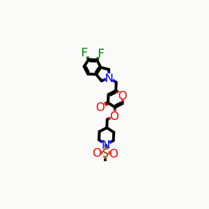 CS(=O)(=O)N1CCC(COc2coc(CN3Cc4ccc(F)c(F)c4C3)cc2=O)CC1